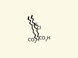 C=CCCCCCCCCC(=O)O.C=CCCCCCCCCC(=O)O.[Al][Cl]